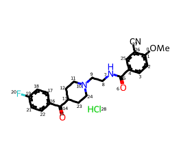 COc1ccc(C(=O)NCCN2CCC(C(=O)c3ccc(F)cc3)CC2)cc1C#N.Cl